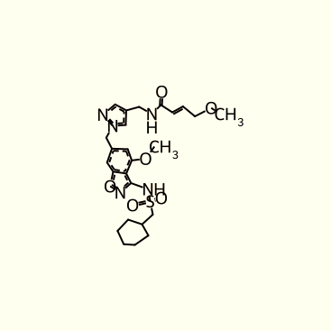 COC/C=C/C(=O)NCc1cnn(Cc2cc(OC)c3c(NS(=O)(=O)CC4CCCCC4)noc3c2)c1